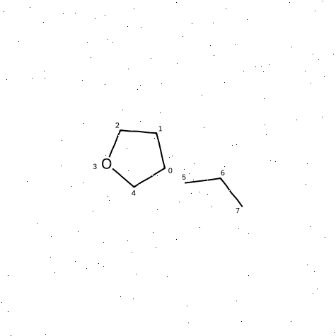 C1CCOC1.CCC